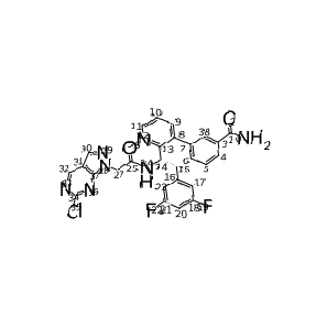 NC(=O)c1cccc(-c2cccnc2[C@H](Cc2cc(F)cc(F)c2)NC(=O)Cn2ncc3cnc(Cl)nc32)c1